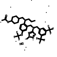 CCCN(CC1CCC(OC(C)=O)CC1)c1ccc(OC(F)(F)F)cc1CN(Cc1cc(C(F)(F)F)cc(C(F)(F)F)c1)c1nnn(C)n1.Cl